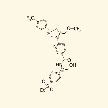 CCS(=O)(=O)c1ccc([C@H](CO)NC(=O)c2ccc(N3C[C@H](c4ccc(C(F)(F)F)cc4)C[C@H]3COC(F)(F)F)nc2)cc1